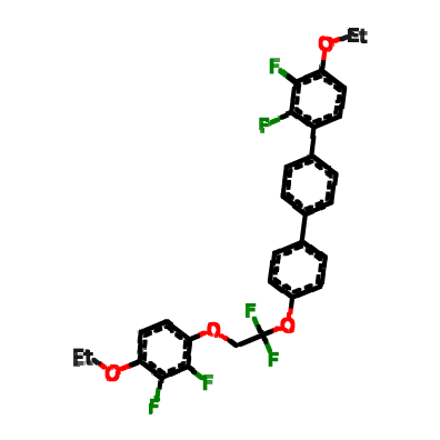 CCOc1ccc(OCC(F)(F)Oc2ccc(-c3ccc(-c4ccc(OCC)c(F)c4F)cc3)cc2)c(F)c1F